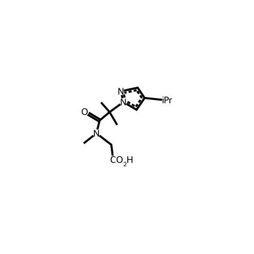 CC(C)c1cnn(C(C)(C)C(=O)N(C)CC(=O)O)c1